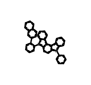 c1ccc(-n2c3ccccc3c3c4c5ccccc5n(-c5ccccc5-c5ccc6ccccc6c5)c4ccc32)cc1